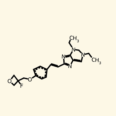 CCN1C=C2N=C(C=Cc3ccc(OCC4(F)COC4)cc3)N=C2N(CC)C1